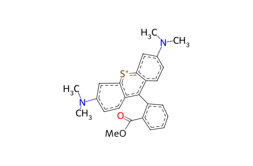 COC(=O)c1ccccc1-c1c2ccc(N(C)C)cc2[s+]c2cc(N(C)C)ccc12